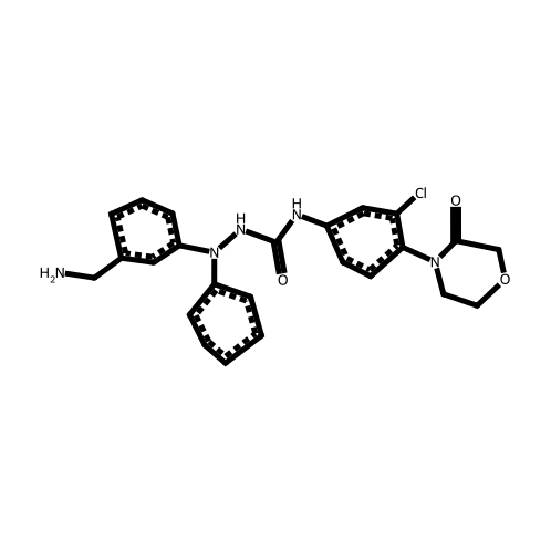 NCc1cccc(N(NC(=O)Nc2ccc(N3CCOCC3=O)c(Cl)c2)c2ccccc2)c1